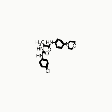 CC(NC(=O)Nc1ccc(Cl)cc1)C(=O)Nc1ccc(N2CCOCC2)cc1